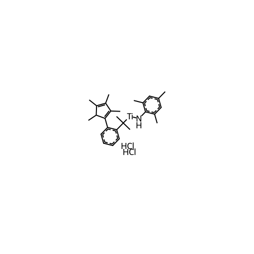 CC1=C(C)C(C)C(c2ccccc2[C](C)(C)[Ti][NH]c2c(C)cc(C)cc2C)=C1C.Cl.Cl